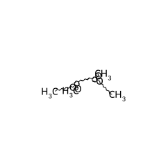 CCCCCCCCOc1ccc(C=CCC=Cc2ccc(OCCCCCCCC)c(OC)c2)cc1OC